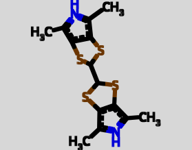 Cc1[nH]c(C)c2c1SC(C1Sc3c(C)[nH]c(C)c3S1)S2